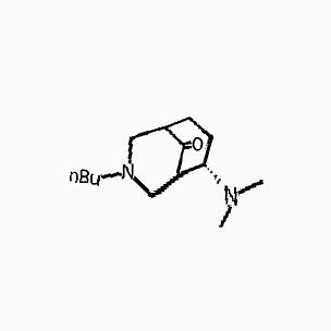 CCCCN1CC2CC[C@H](N(C)C)C(C1)C2=O